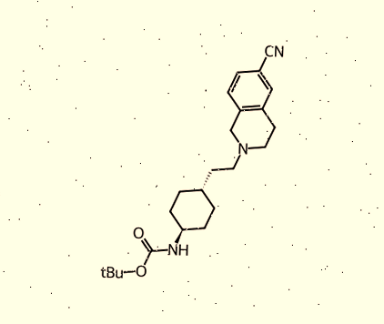 CC(C)(C)OC(=O)N[C@H]1CC[C@H](CCN2CCc3cc(C#N)ccc3C2)CC1